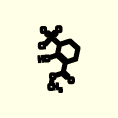 COC(=O)C1=C(O)C(S(=O)(=O)Cl)CCC1